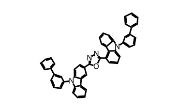 c1ccc(-c2cccc(-n3c4ccccc4c4cc(-c5nnc(-c6cccc7c6c6ccccc6n7-c6cccc(-c7ccccc7)c6)o5)ccc43)c2)cc1